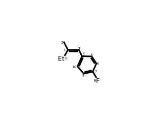 CC/C(C)=C\c1ccc(F)cc1